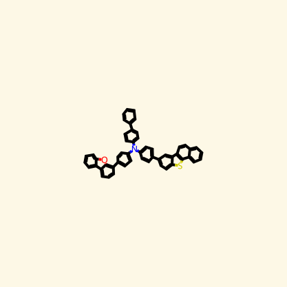 c1ccc(-c2ccc(N(c3ccc(-c4ccc5sc6c7ccccc7ccc6c5c4)cc3)c3ccc(-c4cccc5c4oc4ccccc45)cc3)cc2)cc1